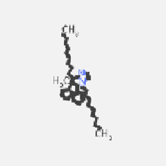 CCCCCCCCCCCn1ccnc1C(CCCCCCCCCC)C(C)(Cc1ccccc1)c1ccccc1